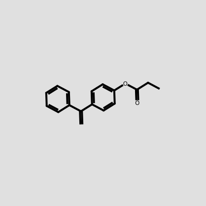 C=C(c1ccccc1)c1ccc(OC(=O)CC)cc1